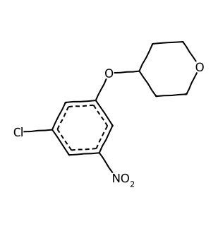 O=[N+]([O-])c1cc(Cl)cc(OC2CCOCC2)c1